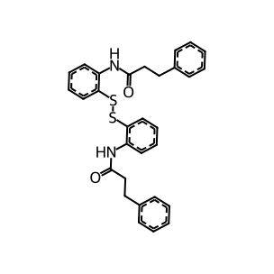 O=C(CCc1ccccc1)Nc1ccccc1SSc1ccccc1NC(=O)CCc1ccccc1